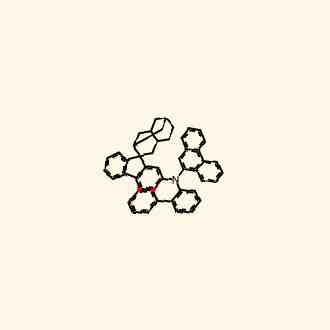 c1ccc(-c2ccccc2N(c2ccc3c(c2)C2(CC4CCC5CC4CC2C5)c2ccccc2-3)c2cc3ccccc3c3ccccc23)cc1